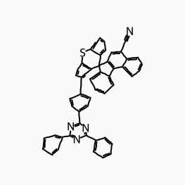 N#Cc1cc2c(c3ccccc13)-c1ccccc1C21c2ccccc2Sc2ccc(-c3ccc(-c4nc(-c5ccccc5)nc(-c5ccccc5)n4)cc3)cc21